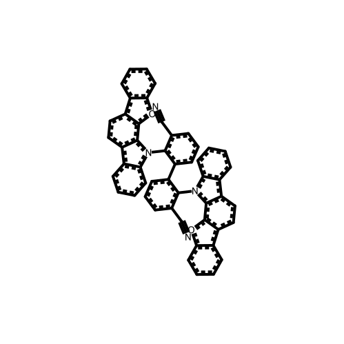 N#Cc1cccc(-c2cccc(C#N)c2-n2c3ccccc3c3ccc4c5ccccc5oc4c32)c1-n1c2ccccc2c2ccc3c4ccccc4oc3c21